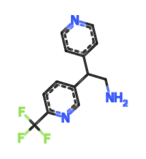 NCC(c1ccncc1)c1ccc(C(F)(F)F)nc1